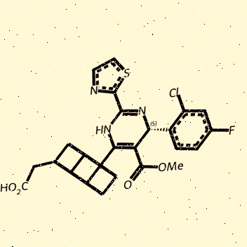 COC(=O)C1=C(C23C4C5C2C2C3C4C52CC(=O)O)NC(c2nccs2)=N[C@@H]1c1ccc(F)cc1Cl